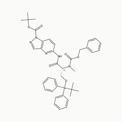 CN(C(=O)OCc1ccccc1)[C@H](CO[Si](c1ccccc1)(c1ccccc1)C(C)(C)C)C(=O)Nc1ccc2c(cnn2C(=O)OC(C)(C)C)n1